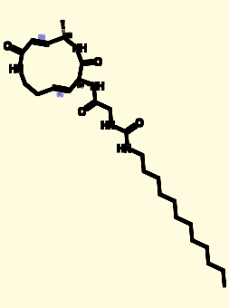 CCCCCCCCCCCCNC(=O)NCC(=O)N[C@H]1/C=C/CCNC(=O)/C=C/[C@H](C)NC1=O